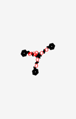 OCC(COCCOCc1ccccc1)(COCCOCc1ccccc1)COCCOCc1ccccc1